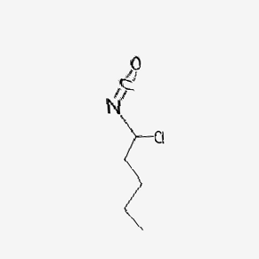 CCCCC(Cl)N=C=O